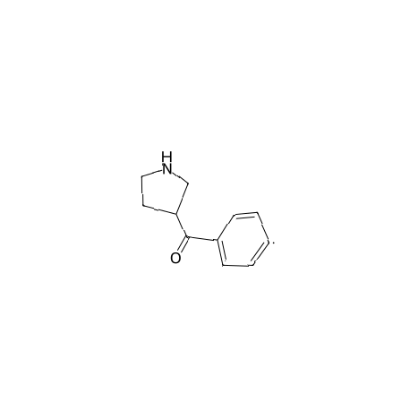 O=C(c1cc[c]cc1)C1CCNC1